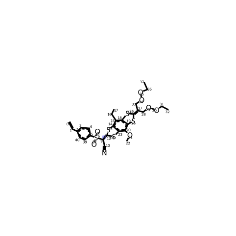 C=Cc1ccc(S(=O)(=O)/C(C#N)=C2\Sc3c(CC)c4c(c(OC)c3S2)SC(=C(COOCC)COOCC)S4)cc1